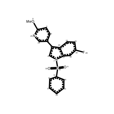 COc1ccc(-c2cn(S(=O)(=O)c3ccccc3)c3cc(F)ccc23)cn1